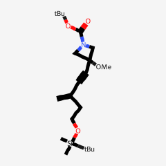 C=C(C#CC1(OC)CN(C(=O)OC(C)(C)C)C1)CCO[Si](C)(C)C(C)(C)C